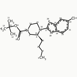 CCCC[C@H]1CN(C(=O)OC(C)(C)C)CCN1c1nc2ccc(Cl)cc2s1